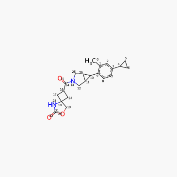 Cc1cc(C2CC2)ccc1C1C2CN(C(=O)C3CC4(COC(=O)N4)C3)CC21